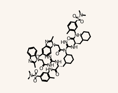 Cc1ccc(S(=O)(=O)N(C)C)cc1NC(=O)[C@@H](CC1CCCC(N(C(=N)N[C@H](CC2CCCCC2)C(=O)Nc2cc(S(=O)(=O)N(C)C)ccc2C)C(=O)Cn2c(C)nc3cc(Cl)ccc32)C1)NC(=N)NC(=O)Cn1c(C)nc2ccccc21